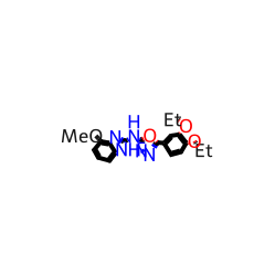 CCOc1ccc(-c2nnc(Nc3nc4c(OC)cccc4[nH]3)o2)cc1OCC